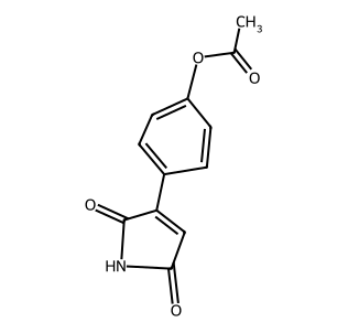 CC(=O)Oc1ccc(C2=CC(=O)NC2=O)cc1